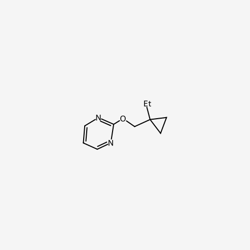 CCC1(COc2ncccn2)CC1